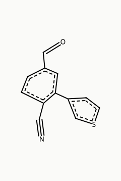 N#Cc1ccc(C=O)cc1-c1ccsc1